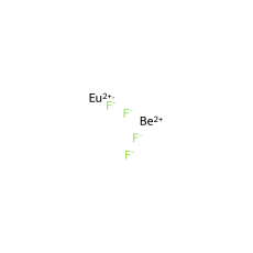 [Be+2].[Eu+2].[F-].[F-].[F-].[F-]